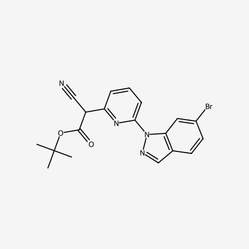 CC(C)(C)OC(=O)C(C#N)c1cccc(-n2ncc3ccc(Br)cc32)n1